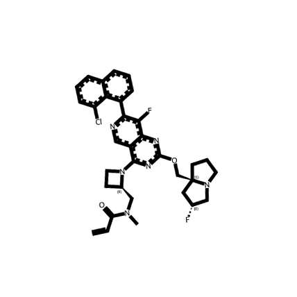 C=CC(=O)N(C)C[C@H]1CCN1c1nc(OC[C@@]23CCCN2C[C@H](F)C3)nc2c(F)c(-c3cccc4cccc(Cl)c34)ncc12